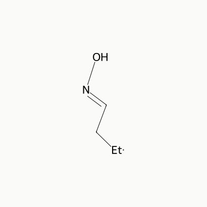 C[CH]CC=NO